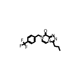 CCCc1nnc2c(=O)n(Cc3ccc(C(F)(F)F)cc3)ccn12